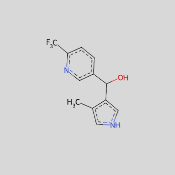 Cc1c[nH]cc1C(O)c1ccc(C(F)(F)F)nc1